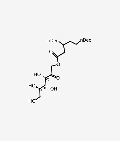 CCCCCCCCCCCCC(CCCCCCCCCC)CC(=O)OCC(=O)[C@@H](O)[C@H](O)[C@H](O)CO